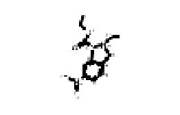 CCOC(=O)N1c2cc([N+](=O)[O-])ccc2CN1CC